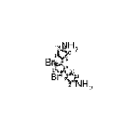 Nc1ccc(-c2cc(-c3ccc(N)cc3)c(Br)cc2Br)cc1